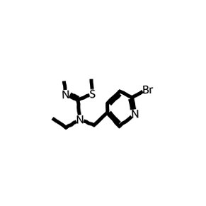 CCN(Cc1ccc(Br)nc1)/C(=N/C)SC